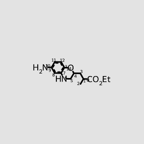 CCOC(=O)C(C)CC1CNc2cc(N)ccc2O1